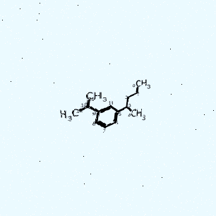 CCCC(C)c1cccc(C(C)C)c1